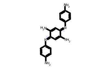 NC1=CC(=N\c2ccc(N)cc2)/C(N)=CC/1=N\c1ccc(N)cc1